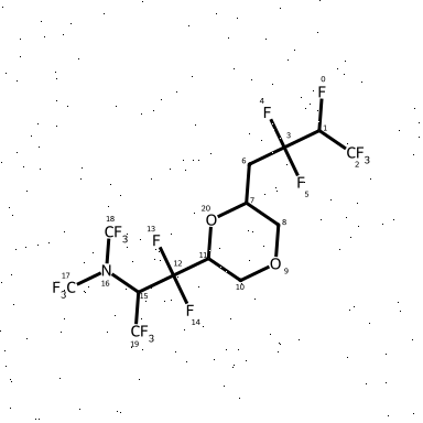 FC(C(F)(F)F)C(F)(F)CC1COCC(C(F)(F)C(N(C(F)(F)F)C(F)(F)F)C(F)(F)F)O1